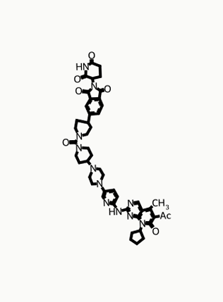 CC(=O)c1c(C)c2cnc(Nc3ccc(N4CCN(C5CCN(C(=O)N6CCC(c7ccc8c(c7)C(=O)N(C7CCC(=O)NC7=O)C8=O)CC6)CC5)CC4)cn3)nc2n(C2CCCC2)c1=O